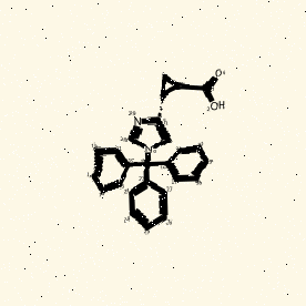 O=C(O)C1C[C@H]1c1cn(C(c2ccccc2)(c2ccccc2)c2ccccc2)cn1